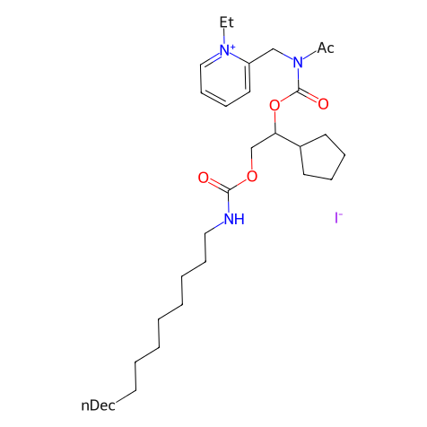 CCCCCCCCCCCCCCCCCCNC(=O)OCC(OC(=O)N(Cc1cccc[n+]1CC)C(C)=O)C1CCCC1.[I-]